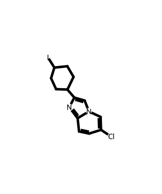 Clc1ccc2nc(C3CCC(I)CC3)cn2c1